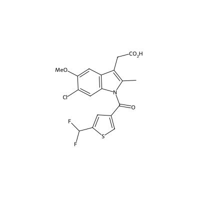 COc1cc2c(CC(=O)O)c(C)n(C(=O)c3csc(C(F)F)c3)c2cc1Cl